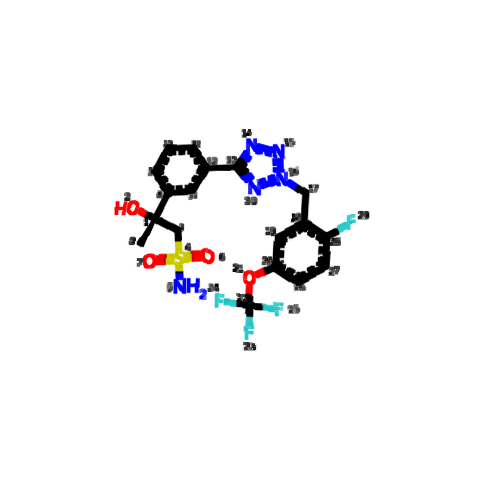 C[C@](O)(CS(N)(=O)=O)c1cccc(-c2nnn(Cc3cc(OC(F)(F)F)ccc3F)n2)c1